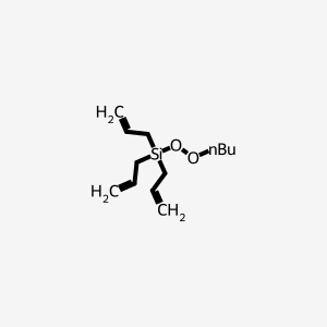 C=CC[Si](CC=C)(CC=C)OOCCCC